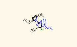 Cc1nc(-n2c(C)ccc2C)nc(NN)c1Br